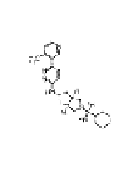 [2H]C([2H])(C1CCCCC1)N1C[C@H]2CC(Nc3ccc(-c4cnccc4C(F)(F)F)nn3)C[C@H]2C1